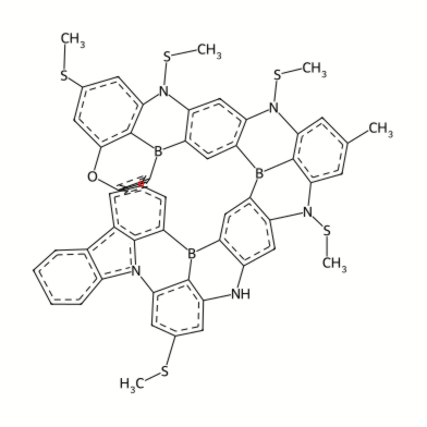 CSc1cc2c3c(c1)N(SC)c1cc4c(cc1B3c1ccccc1O2)B1c2cc3c(cc2N(SC)c2cc(C)cc(c21)N4SC)Nc1cc(SC)cc2c1B3c1cccc3c4ccccc4n-2c13